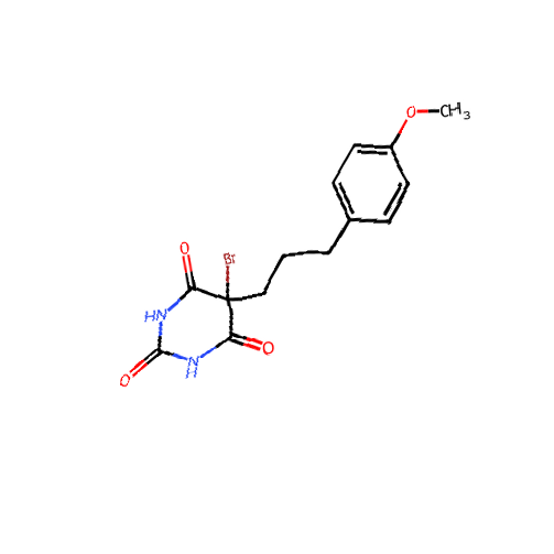 COc1ccc(CCCC2(Br)C(=O)NC(=O)NC2=O)cc1